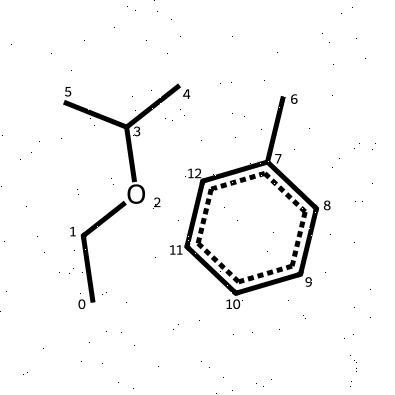 CCOC(C)C.Cc1ccccc1